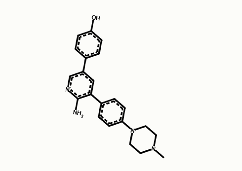 CN1CCN(c2ccc(-c3cc(-c4ccc(O)cc4)cnc3N)cc2)CC1